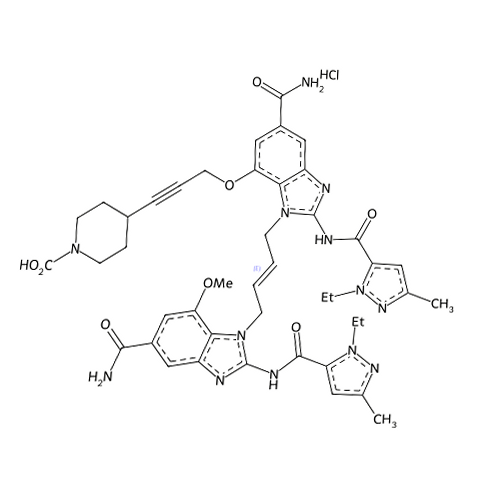 CCn1nc(C)cc1C(=O)Nc1nc2cc(C(N)=O)cc(OC)c2n1C/C=C/Cn1c(NC(=O)c2cc(C)nn2CC)nc2cc(C(N)=O)cc(OCC#CC3CCN(C(=O)O)CC3)c21.Cl